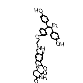 CCC(=C(c1ccc(O)cc1)c1ccc(OCCNCc2cc3c(cc2F)C(=O)N(C2CCC(=O)NC2=O)C3)cc1)c1ccc(O)cc1